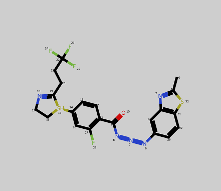 Cc1nc2cc(N=[N+]=NC(=O)c3ccc([SH]4CCN=C4CCC(F)(F)F)cc3F)ccc2s1